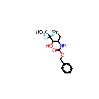 CC(C)CC(NC(=O)OCc1ccccc1)C(O)C(F)(F)C(=O)O